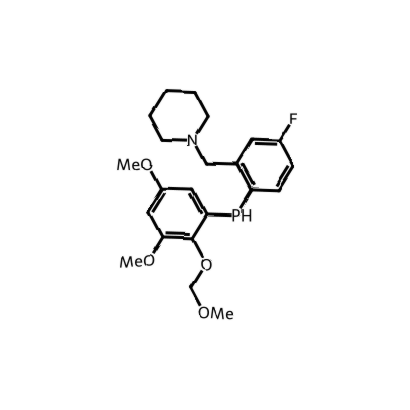 COCOc1c(OC)cc(OC)cc1Pc1ccc(F)cc1CN1CCCCC1